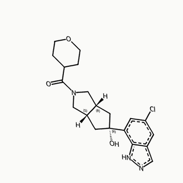 O=C(C1CCOCC1)N1C[C@@H]2C[C@@](O)(c3cc(Cl)cc4cn[nH]c34)C[C@@H]2C1